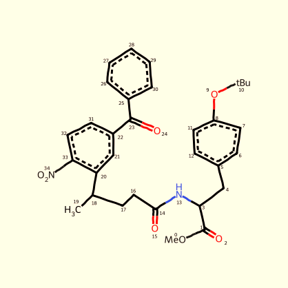 COC(=O)C(Cc1ccc(OC(C)(C)C)cc1)NC(=O)CCC(C)c1cc(C(=O)c2ccccc2)ccc1[N+](=O)[O-]